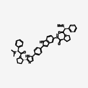 CN[C@@H](C(=O)N1CCC[C@H]1C(=O)Nc1ccc2[nH]c(-c3ccc(-c4cnc([C@@H]5CCCN5C(=O)[C@@H](c5ccccc5)N(C)C)[nH]4)cc3)cc2c1)c1ccccc1